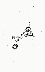 CC(C)=C[SiH2]OC(CO[SiH2]CCC1CC2C=CC1C2)O[SiH2]C=C(C)C